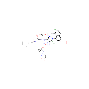 C#Cc1c(F)ccc2cc(O)cc(-c3nc4c5c(nc(OCC6(CN7CCOCC7)CC6)nc5c3F)N3C[C@@H](NC(=O)C=C)COC[C@@H]3CO4)c12